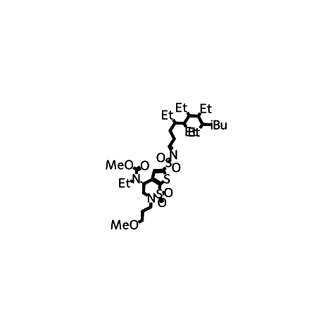 CCC(C)C(CC)C(CC)C(CC)C(CC)C(CC)CC/C=N/S(=O)(=O)c1cc2c(s1)S(=O)(=O)N(CCCOC)C[C@@H]2N(CC)C(=O)OC